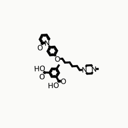 CN1CCN(CCCCCCOc2ccc(-n3ccccc3=O)cc2)CC1.Cc1cc(C(=O)O)cc(C(=O)O)c1